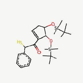 CC(C)(C)[Si](C)(C)OC1CC=C(C(=O)C(S)c2ccccc2)C1O[Si](C)(C)C(C)(C)C